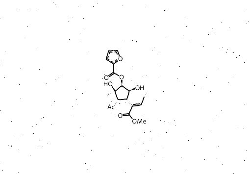 C/C=C(/C(=O)OC)[C@H]1[C@H](O)[C@H](OC(=O)c2ccco2)[C@](C)(O)[C@H]1C(C)=O